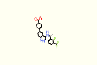 COC(=O)C1CC=C(c2ccc3nncc(N[C@H](C)c4cccc(C(F)F)c4F)c3c2)CC1